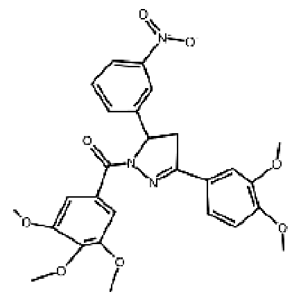 COc1ccc(C2=NN(C(=O)c3cc(OC)c(OC)c(OC)c3)C(c3cccc([N+](=O)[O-])c3)C2)cc1OC